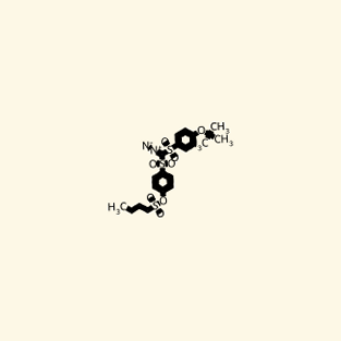 CCCCS(=O)(=O)Oc1ccc(S(=O)(=O)C(=[N+]=[N-])S(=O)(=O)c2ccc(OC(C)(C)C)cc2)cc1